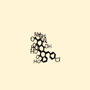 CN(C)C1C(O)=C(C(N)=O)C(=O)C2(O)C(O)=C3C(=O)c4c(O)cccc4/C(=C\c4ccc(Cl)cc4)C3C(O)C12